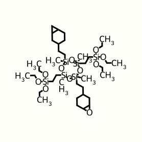 CCO[Si](CC[Si]1(C)O[Si](C)(CCC2CCC3CC3C2)O[Si](C)(CC[Si](OCC)(OCC)OCC)O[Si](C)(CCC2CCC3OC3C2)O1)(OCC)OCC